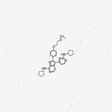 COCCOc1ccc(-c2nn3c(NC4CCCC4)nccc3c2-c2ccnc(NC3CCCC3)n2)cc1